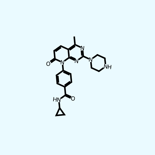 Cc1nc(N2CCNCC2)nc2c1ccc(=O)n2-c1ccc(C(=O)NC2CC2)cc1